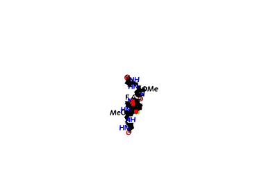 COC1=C(CNC[C@H]2CCC(=O)N2)C=C(Cl)C(c2ccncc2)(c2cccc3c2CC[C@@H]3Oc2nc(OC)c(CNC[C@H]3CCC(=O)N3)cc2C(F)(F)F)N1